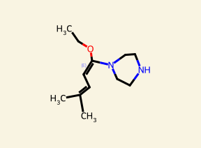 CCO/C(=C/C=C(C)C)N1CCNCC1